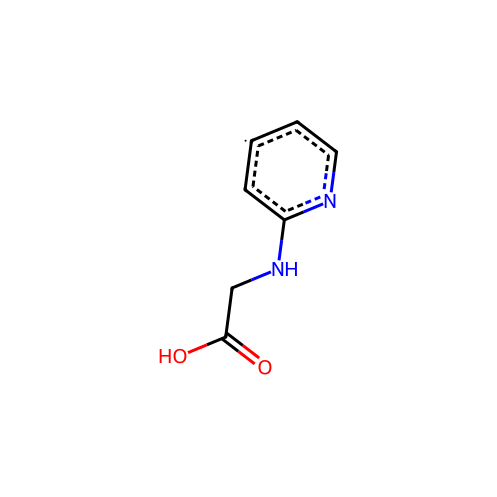 O=C(O)CNc1c[c]ccn1